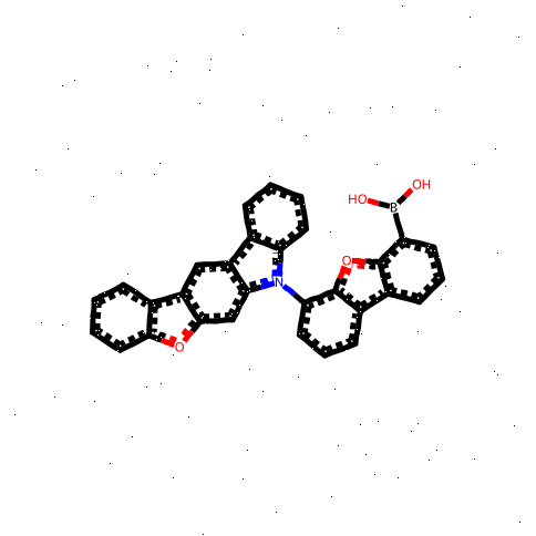 OB(O)c1cccc2c1oc1c(-n3c4ccccc4c4cc5c(cc43)oc3ccccc35)cccc12